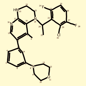 Cc1c(-c2cccc(N3CCOCC3)c2)cnc2c1N(C(C)c1c(F)ccc(F)c1Cl)CCN2